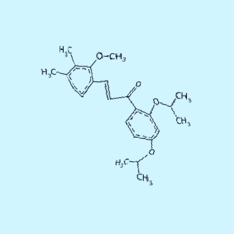 COc1c(/C=C/C(=O)c2ccc(OC(C)C)cc2OC(C)C)ccc(C)c1C